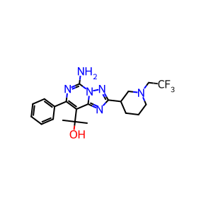 CC(C)(O)c1c(-c2ccccc2)nc(N)n2nc(C3CCCN(CC(F)(F)F)C3)nc12